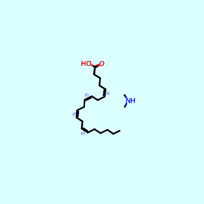 CCCCC/C=C\C/C=C\C/C=C\C/C=C\CCCC(=O)O.CNC